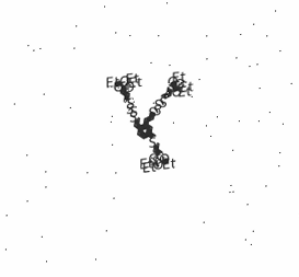 CCO[Si](CCCSCc1ccc(CCSSSSCCC[Si](OCC)(OCC)OCC)c(CCSSSSCCC[Si](OCC)(OCC)OCC)c1)(OCC)OCC